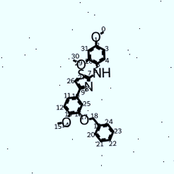 COc1ccc(Nc2nc(-c3ccc(OC)c(OCc4ccccc4)c3)cs2)c(OC)c1